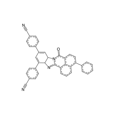 N#Cc1ccc(C2=CC3C(N=c4c5cccc6c(-c7ccccc7)ccc(c(=O)n43)c65)C(c3ccc(C#N)cc3)=C2)cc1